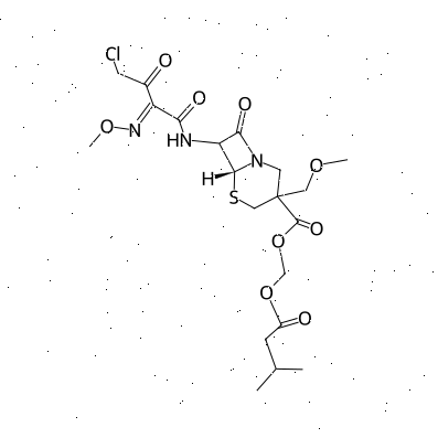 COCC1(C(=O)OCOC(=O)CC(C)C)CS[C@@H]2C(NC(=O)C(=NOC)C(=O)CCl)C(=O)N2C1